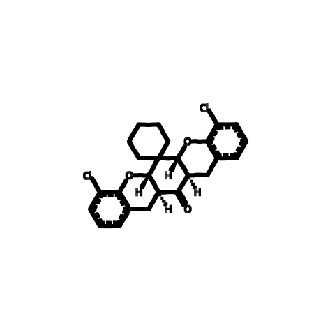 O=C1[C@H]2Cc3cccc(Cl)c3O[C@@H]2C2(CCCCC2)[C@@H]2Oc3c(Cl)cccc3C[C@@H]12